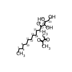 CC(=O)C(C)=O.CCCCCCCCCCCC(=O)C(O)C(O)CO